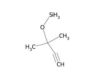 C#CC(C)(C)O[SiH3]